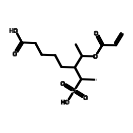 [CH2]C(C(CCCCC(=O)O)C(C)OC(=O)C=C)S(=O)(=O)O